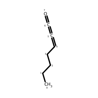 CCCCC=C=C=O